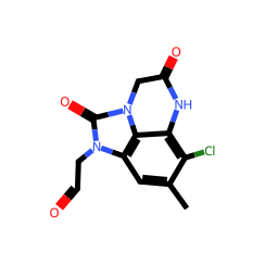 Cc1cc2c3c(c1Cl)NC(=O)Cn3c(=O)n2CC=O